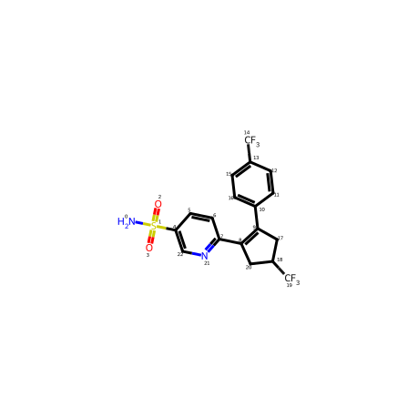 NS(=O)(=O)c1ccc(C2=C(c3ccc(C(F)(F)F)cc3)CC(C(F)(F)F)C2)nc1